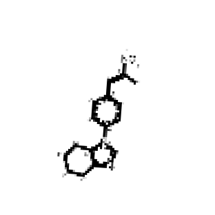 C/C(=C\c1ccc(-n2cnc3c2CCCC3)cc1)[N+](=O)[O-]